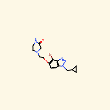 O=C1CN(CCOc2ccc3c(nnn3CC3CC3)c2Br)CCN1